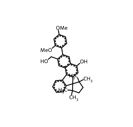 COc1ccc(-c2cc3c(O)cc4c(c3cc2CO)-c2ccccc2C42C(C)(C)CCC2(C)C)c(OC)c1